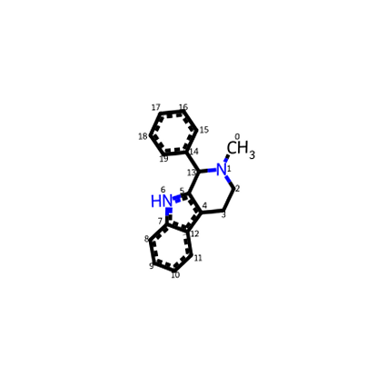 CN1CCc2c([nH]c3ccccc23)C1c1ccccc1